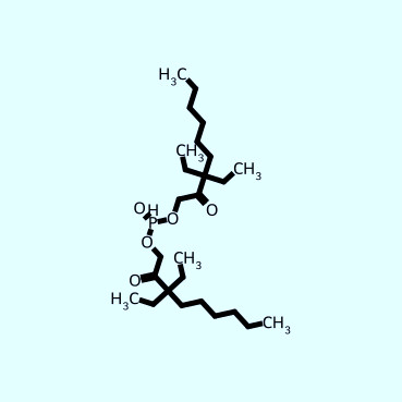 CCCCCCC(CC)(CC)C(=O)CO[PH](=O)OCC(=O)C(CC)(CC)CCCCCC